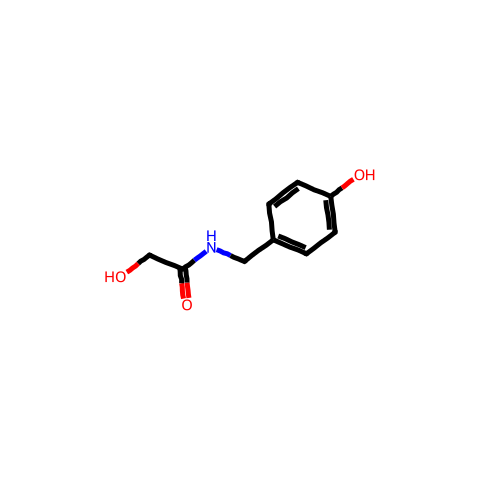 O=C(CO)NCc1ccc(O)cc1